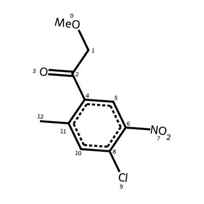 COCC(=O)c1cc([N+](=O)[O-])c(Cl)cc1C